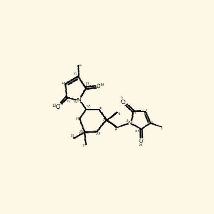 CC1=CC(=O)N(CC2(C)CC(N3C(=O)C=C(C)C3=O)CC(C)(C)C2)C1=O